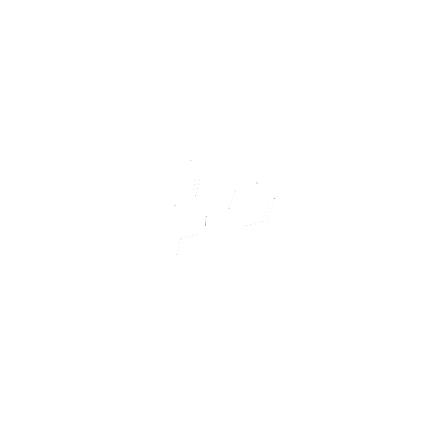 [SiH3]COC(c1ccccc1)c1ccccc1